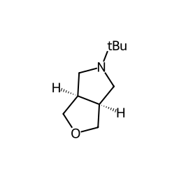 CC(C)(C)N1C[C@H]2COC[C@H]2C1